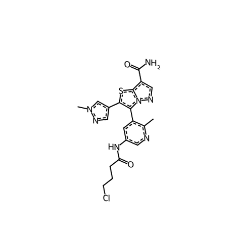 Cc1ncc(NC(=O)CCCCl)cc1-c1c(-c2cnn(C)c2)sc2c(C(N)=O)cnn12